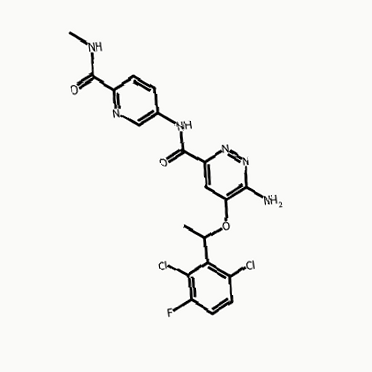 CNC(=O)c1ccc(NC(=O)c2cc(OC(C)c3c(Cl)ccc(F)c3Cl)c(N)nn2)cn1